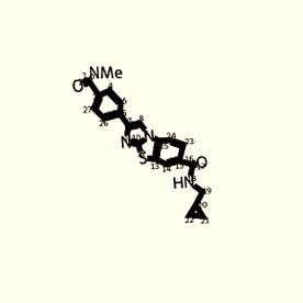 CNC(=O)c1ccc(-c2cn3c(n2)sc2cc(C(=O)NCC4CC4)ccc23)cc1